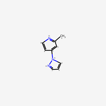 Cc1cc(-n2cc[c]n2)ccn1